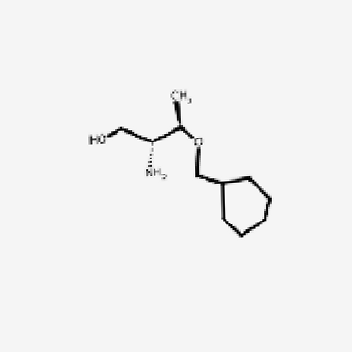 C[C@@H](OCC1CCCCC1)[C@H](N)CO